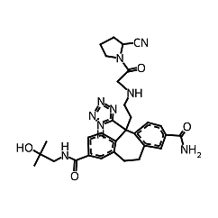 CC(C)(O)CNC(=O)c1ccc2c(c1)CCc1cc(C(N)=O)ccc1C2(CCNCC(=O)N1CCCC1C#N)c1nnn[nH]1